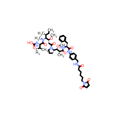 CC[C@H](C)[C@@H]([C@@H](CC(=O)N1CCC[C@H]1[C@H](OC)[C@@H](C)C(=O)N[C@@H](Cc1ccccc1)C(=O)Nc1ccc(CNC(=O)CCCCCN2C(=O)C=CC2=O)cc1)OC)N(C)C(=O)[C@@H](NC(=O)O)C(C)C